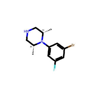 C[C@@H]1CNC[C@H](C)N1c1cc(F)cc(Br)c1